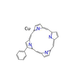 C1=CC2=NC1=CC1=NC(=CC3=NC(=CC4=NC(=C2)C=C4)C=C3c2ccccc2)C=C1.[Cu]